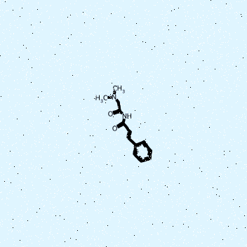 CN(C)CC(=O)NC(=O)/C=C/c1ccccc1